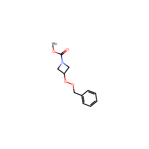 CC(C)(C)OC(=O)N1CC(OOCc2ccccc2)C1